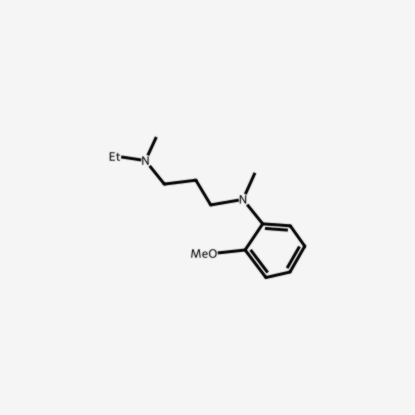 CCN(C)CCCN(C)c1ccccc1OC